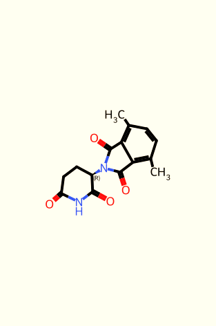 Cc1ccc(C)c2c1C(=O)N([C@@H]1CCC(=O)NC1=O)C2=O